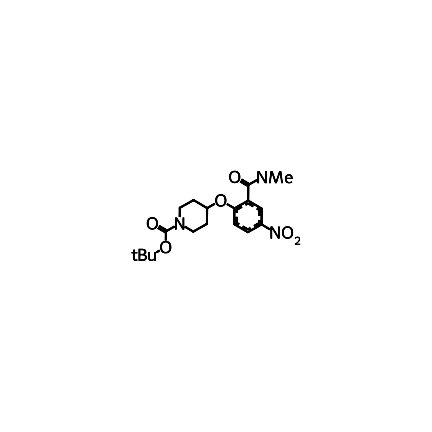 CNC(=O)c1cc([N+](=O)[O-])ccc1OC1CCN(C(=O)OC(C)(C)C)CC1